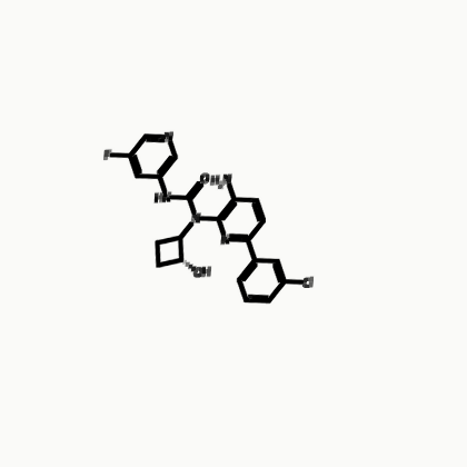 Nc1ccc(-c2cccc(Cl)c2)nc1N(C(=O)Nc1cncc(F)c1)C1CC[C@H]1O